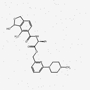 Cc1c(C(=O)N[C@H](C(=O)OCc2cccc(N3CCN(C)CC3)n2)C(C)C)ccc2c1B(O)OC2